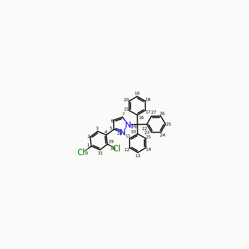 Clc1ccc(-c2ccn(C(c3ccccc3)(c3ccccc3)c3ccccc3)n2)c(Cl)c1